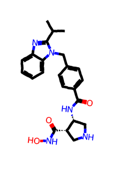 CC(C)c1nc2ccccc2n1Cc1ccc(C(=O)N[C@@H]2CNC[C@@H]2C(=O)NO)cc1